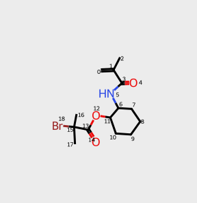 C=C(C)C(=O)NC1CCCCC1OC(=O)C(C)(C)Br